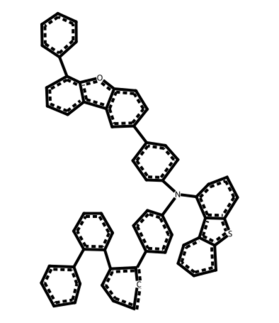 c1ccc(-c2ccccc2-c2ccccc2-c2ccc(N(c3ccc(-c4ccc5oc6c(-c7ccccc7)cccc6c5c4)cc3)c3cccc4sc5ccccc5c34)cc2)cc1